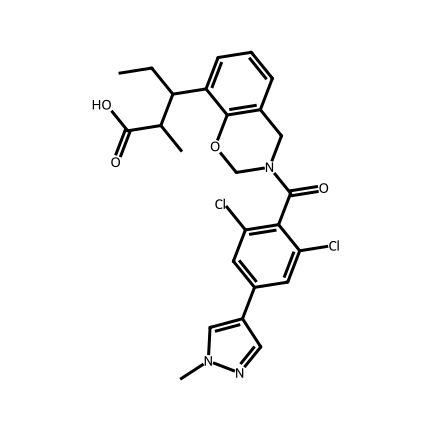 CCC(c1cccc2c1OCN(C(=O)c1c(Cl)cc(-c3cnn(C)c3)cc1Cl)C2)C(C)C(=O)O